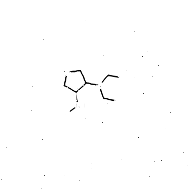 CCN(CC)C1COC[C@@H]1NC